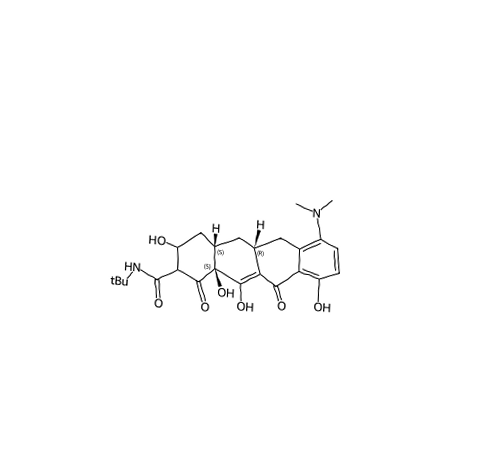 CN(C)c1ccc(O)c2c1C[C@H]1C[C@H]3CC(O)C(C(=O)NC(C)(C)C)C(=O)[C@@]3(O)C(O)=C1C2=O